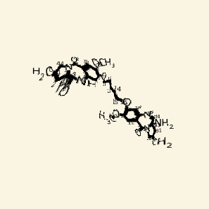 C=C1C[C@H]2C(=O)Nc3cc(OCCCCCOc4cc5c(cc4OC)C(=O)N4CC(=C)C[C@@]4(N)C=N5)c(OC)cc3C(=O)N2C1